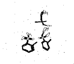 CC(C)(CO)CO.Cc1ccccc1S(=O)(=O)O.Cc1ccccc1S(=O)(=O)O